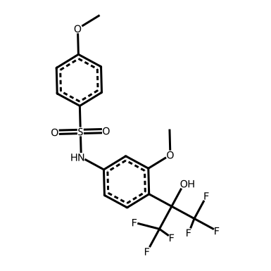 COc1ccc(S(=O)(=O)Nc2ccc(C(O)(C(F)(F)F)C(F)(F)F)c(OC)c2)cc1